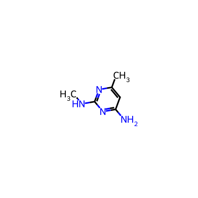 CNc1nc(C)cc(N)n1